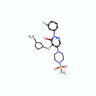 CC1CCC(Oc2c(N3CCN(S(C)(=O)=O)CC3)cnn(-c3cccc(F)c3)c2=O)C1